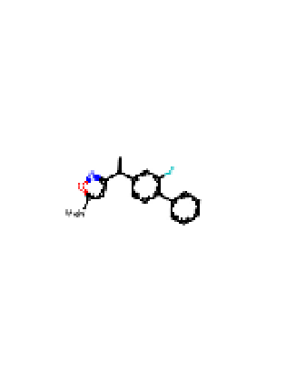 CNc1cc(C(C)c2ccc(-c3ccccc3)c(F)c2)no1